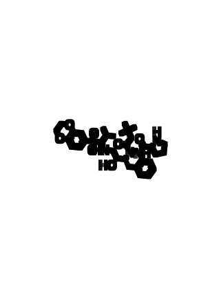 CC(C)C(NC[C@@H](O)[C@H](Cc1ccccc1)N(NC(=O)C1CCCN1)C(=O)CC(C)(C)C)S(=O)(=O)c1ccc2c(c1)OCCO2